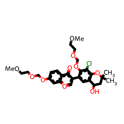 COCCOCOc1ccc2c(=O)c(-c3cc4c(c(Cl)c3OCOCCOC)OC(C)(C)CC4O)coc2c1